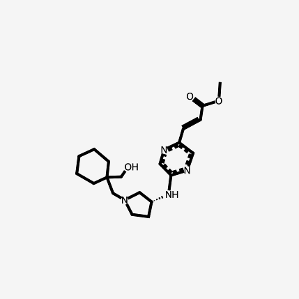 COC(=O)/C=C/c1cnc(N[C@@H]2CCN(CC3(CO)CCCCC3)C2)cn1